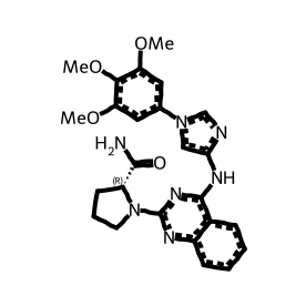 COc1cc(-n2cnc(Nc3nc(N4CCC[C@@H]4C(N)=O)nc4ccccc34)c2)cc(OC)c1OC